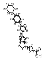 O=C(O)C1CN(C2CCc3sc(-c4cc(-c5ccc(C6CCCCC6)cc5)on4)cc32)C1